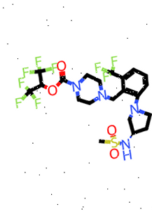 CS(=O)(=O)N[C@H]1CCN(c2cccc(C(F)(F)F)c2CN2CCN(C(=O)OC(C(F)(F)F)C(F)(F)F)CC2)C1